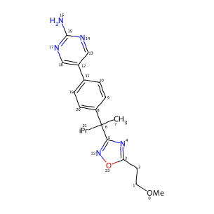 COCCc1nc(C(C)(c2ccc(-c3cnc(N)nc3)cc2)C(C)C)no1